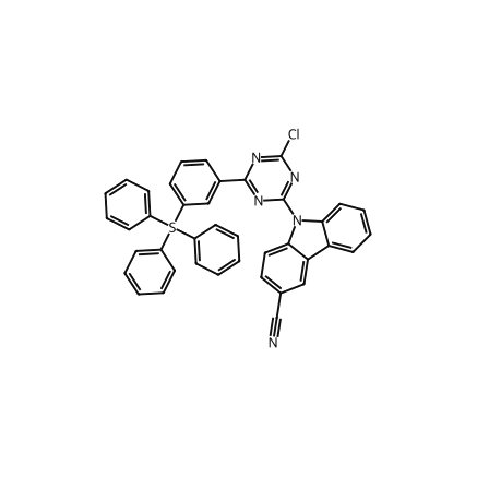 N#Cc1ccc2c(c1)c1ccccc1n2-c1nc(Cl)nc(-c2cccc(S(c3ccccc3)(c3ccccc3)c3ccccc3)c2)n1